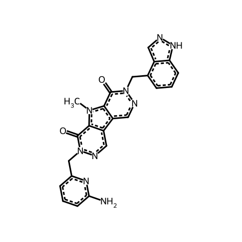 Cn1c2c(=O)n(Cc3cccc(N)n3)ncc2c2cnn(Cc3cccc4[nH]ncc34)c(=O)c21